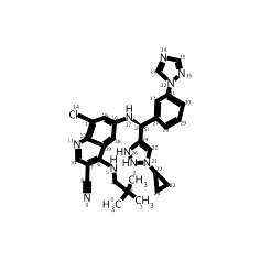 CC(C)(C)CNc1c(C#N)cnc2c(Cl)cc(N[C@H](C3=CN(C4CC4)NN3)c3cccc(-n4cncn4)c3)cc12